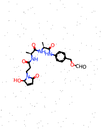 C[C@H](NC(=O)CCN1C(=O)C=CC1O)C(=O)N[C@@H](C)C(=O)Nc1ccc(COC=O)cc1